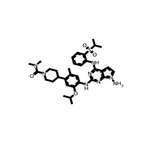 Cc1cc(Nc2nc(Nc3ccccc3S(=O)(=O)C(C)C)c3ccn(N)c3n2)c(OC(C)C)cc1C1CCN(C(=O)N(C)C)CC1